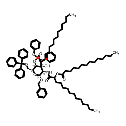 CCCCCCCCCCCCCC(=O)OC(CCCCCCCCCCCC)C(=O)N[C@H]1[C@H](OCc2ccccc2)O[C@H](COC(c2ccccc2)(c2ccccc2)c2ccccc2)[C@@H](OP(=O)(Oc2ccccc2)Oc2ccccc2)[C@@]1(O)C(=O)CCCCCCCCCCCCC